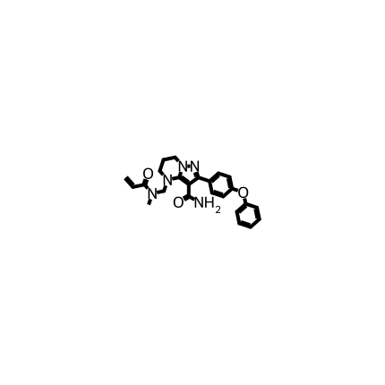 C=CC(=O)N(C)CN1CCCn2nc(-c3ccc(Oc4ccccc4)cc3)c(C(N)=O)c21